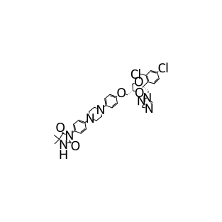 CC1(C)NC(=O)N(c2ccc(N3CCN(c4ccc(OC[C@@H]5CO[C@@](Cn6cncn6)(c6ccc(Cl)cc6Cl)O5)cc4)CC3)cc2)C1=O